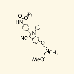 COCCN(C)CCOc1ccc2c(C#N)c(-c3ccc(NC(=O)OC(C)C)cc3)n(C3CCC3)c2c1